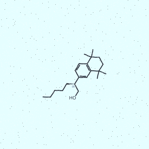 CCCCC[C@H](CO)c1ccc2c(c1)C(C)(C)CCC2(C)C